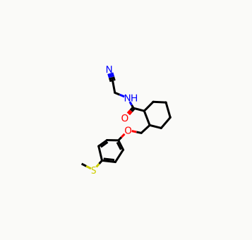 CSc1ccc(OCC2CCCCC2C(=O)NCC#N)cc1